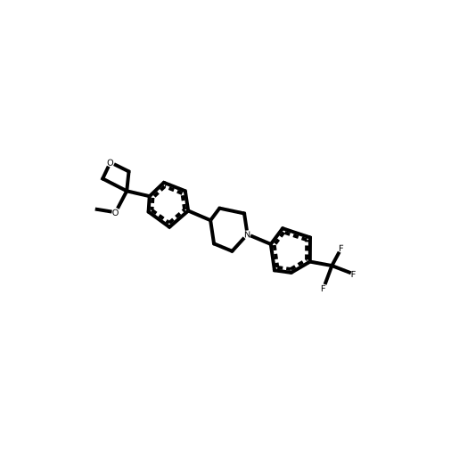 COC1(c2ccc(C3CCN(c4ccc(C(F)(F)F)cc4)CC3)cc2)COC1